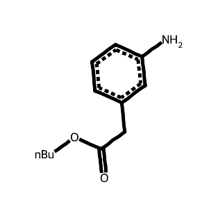 CCCCOC(=O)Cc1cccc(N)c1